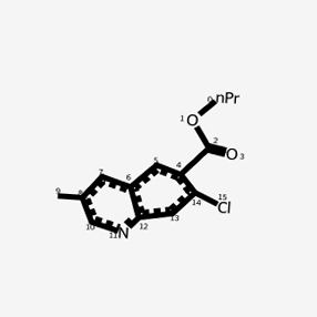 CCCOC(=O)c1cc2cc(C)cnc2cc1Cl